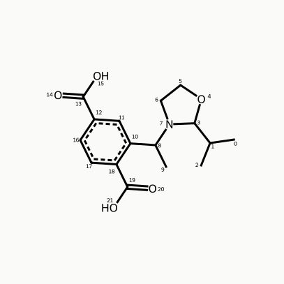 CC(C)C1OCCN1C(C)c1cc(C(=O)O)ccc1C(=O)O